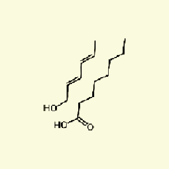 C/C=C/C=C/CO.CCCCCCCC(=O)O